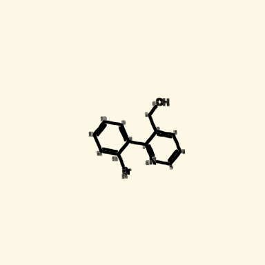 OCc1cccnc1-c1ccccc1Br